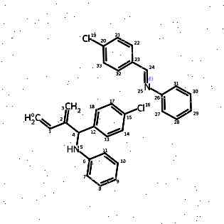 C=CC(=C)C(Nc1ccccc1)c1ccc(Cl)cc1.Clc1ccc(/C=N/c2ccccc2)cc1